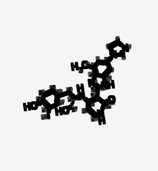 Cc1cc(-n2ccnc2)cc2[nH]c(-c3c(N[C@H](CO)Cc4ccc(O)c(I)c4)cc[nH]c3=O)nc12